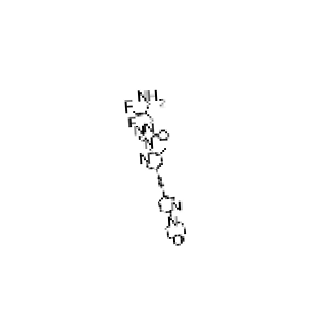 Cc1cc(C#Cc2ccc(N3CCOCC3)nc2)cnc1-n1cnn(CC(CN)=C(F)F)c1=O